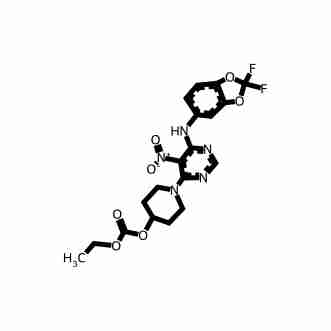 CCOC(=O)OC1CCN(c2ncnc(Nc3ccc4c(c3)OC(F)(F)O4)c2[N+](=O)[O-])CC1